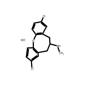 CNC1Cc2cc(Cl)ccc2Oc2ccc(Cl)cc2C1.Cl